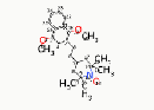 COc1cc(CCC2CC(C)(C)N([O])C(C)(C)C2)c(OC)c2ccccc12